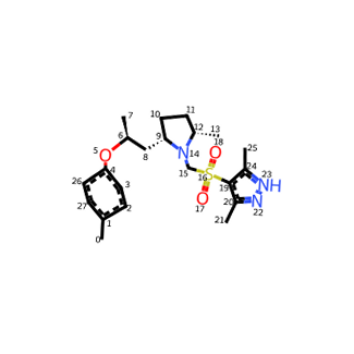 Cc1ccc(O[C@@H](C)C[C@@H]2CC[C@H](C)N2CS(=O)(=O)c2c(C)n[nH]c2C)cc1